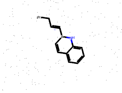 CC(C)C/C=C/B1C=Cc2ccccc2N1